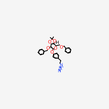 CC1(C)OC2[C@@H](O1)C(COCc1ccccc1)O[C@@H](Oc1ccc(CCN=[N+]=[N-])cc1)[C@H]2OCc1ccccc1